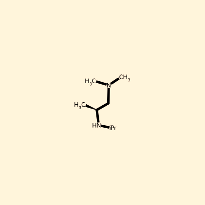 CC(C)N[C@@H](C)CN(C)C